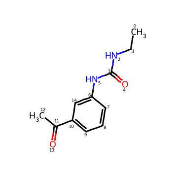 CCNC(=O)Nc1cccc(C(C)=O)c1